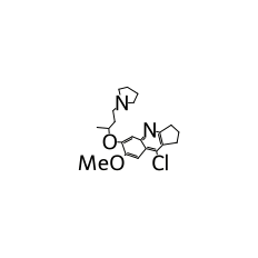 COc1cc2c(Cl)c3c(nc2cc1OC(C)CCN1CCCC1)CCC3